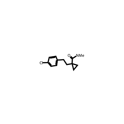 CNC(=O)C1(CCc2ccc(Cl)cc2)CC1